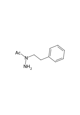 CC(=O)N(N)CCc1ccccc1